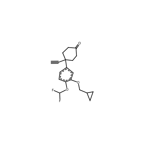 C#CC1(c2ccc(OC(F)F)c(OCC3CC3)c2)CCC(=O)CC1